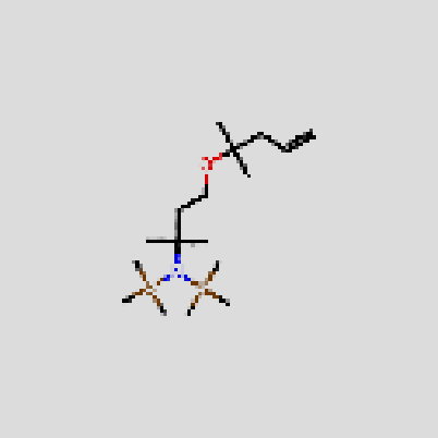 C=CCC(C)(C)OCCC(C)(C)N(S(C)(C)C)S(C)(C)C